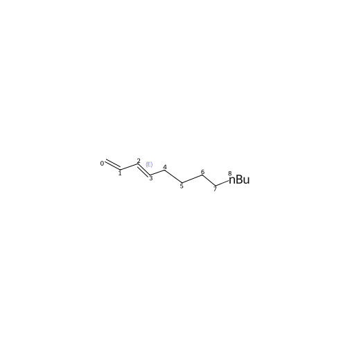 C=C/C=C/CCCCCC[CH]C